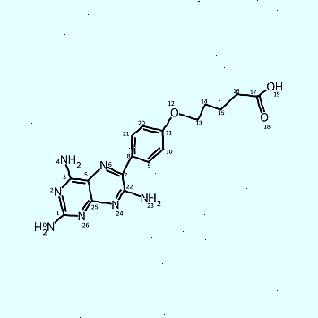 Nc1nc(N)c2nc(-c3ccc(OCCCCC(=O)O)cc3)c(N)nc2n1